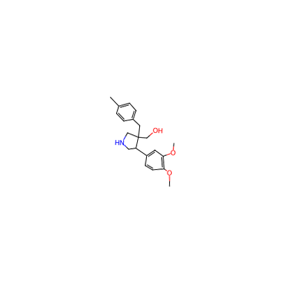 COc1ccc(C2CNCC2(CO)Cc2ccc(C)cc2)cc1OC